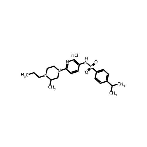 CCCN1CCN(c2ccc(NS(=O)(=O)c3ccc(C(C)C)cc3)cn2)CC1C.Cl